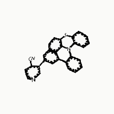 N#Cc1ccncc1-c1cccc(-c2ccccc2N2c3ccccc3Sc3ccccc32)c1